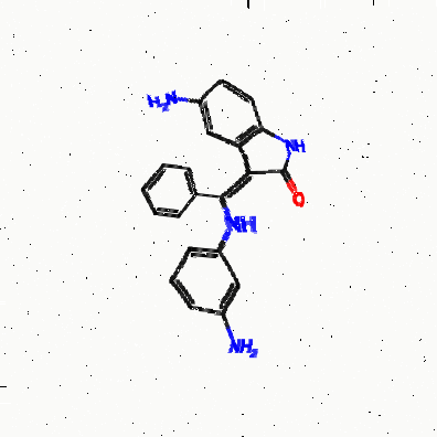 Nc1cccc(N/C(=C2\C(=O)Nc3ccc(N)cc32)c2ccccc2)c1